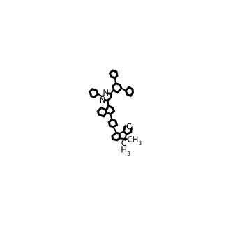 CC1(C)c2ccccc2-c2c(-c3ccc(-c4ccc(-c5cc(-c6cc(-c7ccccc7)cc(-c7ccccc7)c6)nc(-c6ccccc6)n5)c5ccccc45)cc3)cccc21